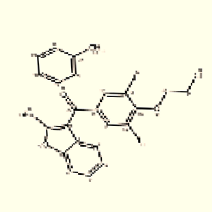 CCCCc1oc2ccccc2c1C(=O)c1cc(I)c(OCCCl)c(I)c1.Cc1ccccc1